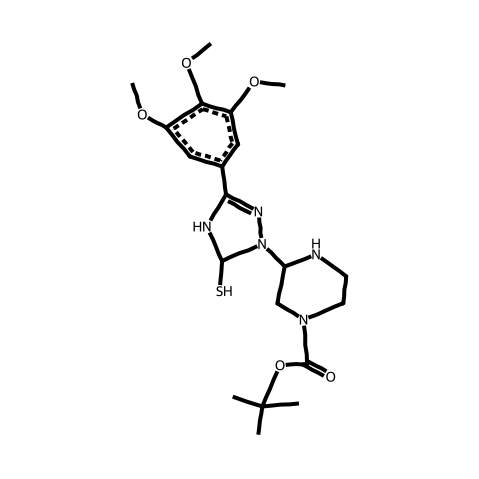 COc1cc(C2=NN(C3CN(C(=O)OC(C)(C)C)CCN3)C(S)N2)cc(OC)c1OC